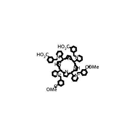 COOc1cccc(C[n+]2ccccc2-c2c3nc(c(-c4cccc[n+]4Cc4cccc(OOC)c4)c4ccc([nH]4)c(-c4cccc[n+]4Cc4cccc(C(=O)O)c4)c4nc(c(-c5cccc[n+]5Cc5cccc(C(=O)O)c5)c5ccc2[nH]5)C=C4)C=C3)c1